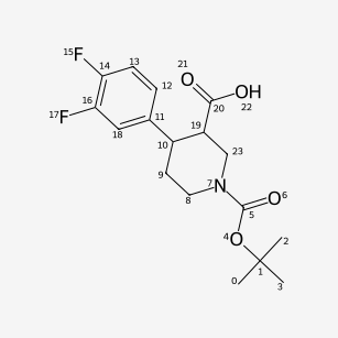 CC(C)(C)OC(=O)N1CCC(c2ccc(F)c(F)c2)C(C(=O)O)C1